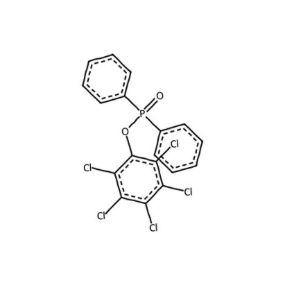 O=P(Oc1c(Cl)c(Cl)c(Cl)c(Cl)c1Cl)(c1ccccc1)c1ccccc1